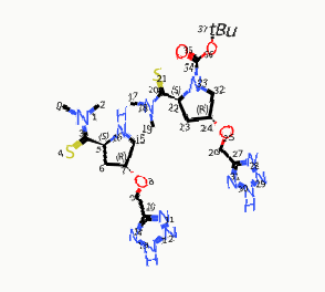 CN(C)C(=S)[C@@H]1C[C@@H](OCc2nn[nH]n2)CN1.CN(C)C(=S)[C@@H]1C[C@@H](OCc2nn[nH]n2)CN1C(=O)OC(C)(C)C